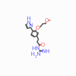 COCCCOc1cc(CCC(=O)NC(=N)N)ccc1-c1cc[nH]n1